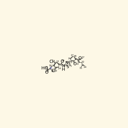 COc1c(-c2csc(NC(=O)c3cc(Cl)c(/C=C(\C)C(=O)O)c(Cl)c3)n2)cccc1C(CCC(C)C)OC